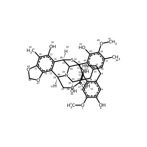 COc1cc2c(cc1O)CCN[C@]21CS[C@@H]2c3c(O)c(C)c4c(c3[C@H](COC1=O)N1C2C2N[C@@H](Cc3cc(C)c(OC)c(O)c32)[C@@H]1O)OCO4